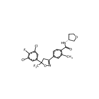 Cc1cc(C2=NOC(c3cc(Cl)c(F)c(Cl)c3)(C(F)(F)F)C2)ccc1C(=O)N[C@@H]1CCOC1